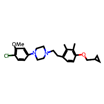 COc1cc(N2CCN(CCc3ccc(OCC4CC4)c(C)c3C)CC2)ccc1Cl